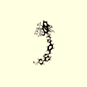 C=C[C@]1(C)C[C@@H](OC(=O)Cn2cc(-c3ccc(Cn4cnc5c(N6CCN(C)CC6)ncnc54)cc3)nn2)[C@]2(C)[C@H](C)CC[C@]3(CCC(=O)[C@H]32)[C@@H](C)[C@@H]1O